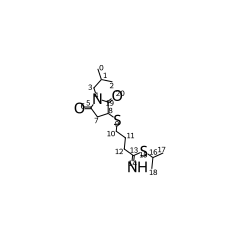 CC(C)CN1C(=O)CC(SCCCC(=N)SC(C)C)C1=O